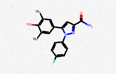 CC(C)(C)c1cc(-c2cc(C(N)=O)nn2-c2ccc(F)cc2)cc(C(C)(C)C)c1O